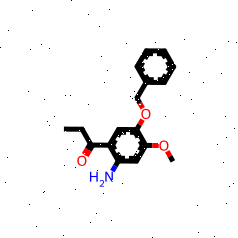 CCC(=O)c1cc(OCc2ccccc2)c(OC)cc1N